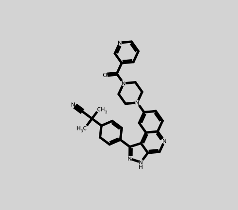 CC(C)(C#N)C1C=CC(c2n[nH]c3cnc4ccc(N5CCN(C(=O)c6cccnc6)CC5)cc4c23)=CC1